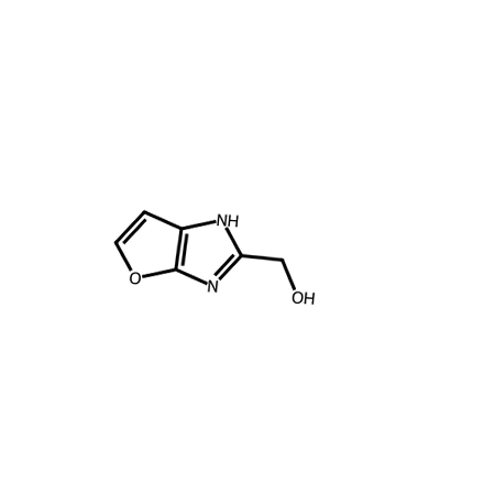 OCc1nc2occc2[nH]1